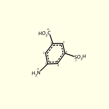 Nc1cc(C(=O)O)cc(S(=O)(=O)O)c1